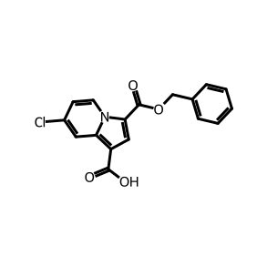 O=C(O)c1cc(C(=O)OCc2ccccc2)n2ccc(Cl)cc12